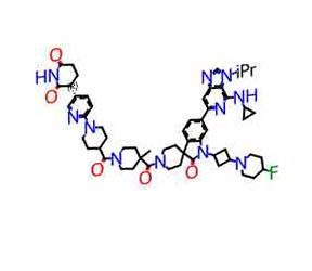 CC(C)n1cnc2cc(-c3ccc4c(c3)N(C3CC(N5CCC(F)CC5)C3)C(=O)C43CCN(C(=O)C4(C)CCN(C(=O)C5CCN(c6ccc([C@H]7CCC(=O)NC7=O)cn6)CC5)CC4)CC3)nc(NC3CC3)c21